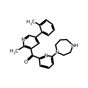 Cc1ccccc1-c1cnc(C)c(C(=O)c2cccc(N3CCCNCC3)n2)c1